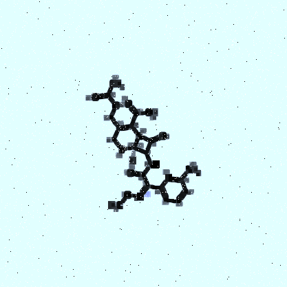 CO/N=C(\C(=O)NC1C(=O)N2C(C(=O)O)=C(COC(C)=O)CS[C@H]12)c1cccc(N)n1